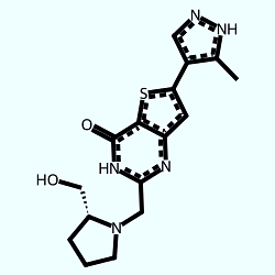 Cc1[nH]ncc1-c1cc2nc(CN3CCC[C@@H]3CO)[nH]c(=O)c2s1